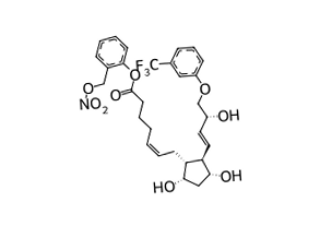 O=C(CCC/C=C\C[C@@H]1[C@@H](/C=C/[C@@H](O)COc2cccc(C(F)(F)F)c2)[C@H](O)C[C@@H]1O)Oc1ccccc1CO[N+](=O)[O-]